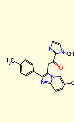 Cc1ccc(-c2nc3ccc(C)cn3c2CC(=O)c2nccn2C)cc1